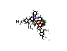 Cc1ccc(-c2ccc3c(c2)-c2ccccc2C3c2cccc(C#N)c2-c2c(-c3c(C(F)(F)F)cccc3C(F)(F)F)cccc2-n2c3ccccc3c3cc(-c4ccc(C)cc4C)ccc32)c(C)c1